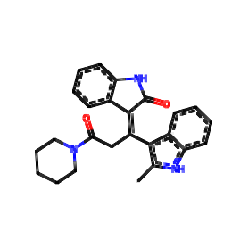 Cc1[nH]c2ccccc2c1C(CC(=O)N1CCCCC1)=C1C(=O)Nc2ccccc21